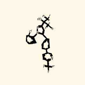 OC(C1=NN(c2ccccc2Cl)C(c2ccc(-c3ccc(C(F)(F)F)nc3)cc2)C1)(C(F)(F)F)C(F)(F)F